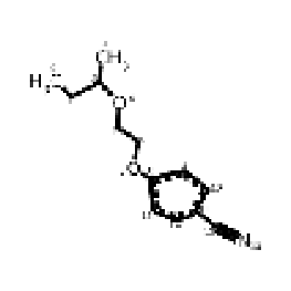 CCC(C)OCCOc1ccc(C#N)cc1